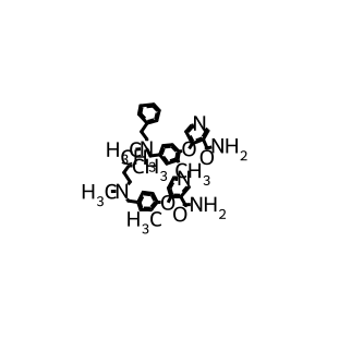 Cc1cc(CN(C)CCC(C)C)ccc1Oc1ccncc1C(N)=O.Cc1cc(CN(C)CCc2ccccc2)ccc1Oc1ccncc1C(N)=O